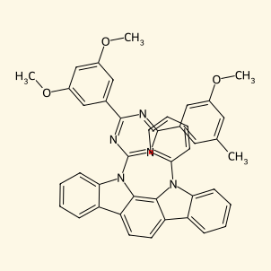 COc1cc(C)cc(-c2nc(-c3cc(OC)cc(OC)c3)nc(-n3c4ccccc4c4ccc5c6ccccc6n(-c6ccccc6)c5c43)n2)c1